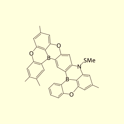 CSN1c2cc3c(cc2B2c4ccccc4Oc4cc(C)cc1c42)B1c2cc(C)c(C)cc2Oc2cc(C)cc(c21)O3